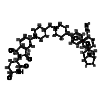 N#Cc1ccc(N2C3CCC2CC(Oc2ccc(C4CCN(CC5CCN(c6ccc7c(c6)C(=O)N(C6CCC(=O)NC6=O)C7=O)CC5)CC4)cc2)C3)cc1Cl